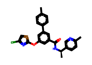 Cc1ccc(-c2cc(Oc3nc(Cl)cs3)cc(C(=O)N[C@H](C)c3ccc(C)nc3)c2)cc1